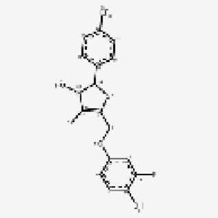 CC1=C(COc2ccc(O)c(F)c2)SC(c2ccc(C(F)(F)F)cc2)N1O